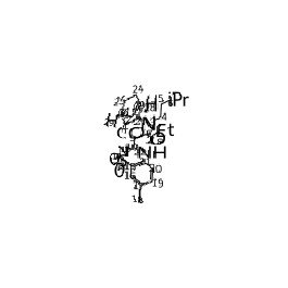 CCOC(=O)C1C(N(CCC(C)C)C(=O)CC2=NS(=O)(=O)c3cc(I)ccc3N2)[C@@H]2CC[C@H]1C2